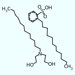 CCCCCCCCCCCCN(CCO)CCO.CCCCCCCCCCCCc1ccccc1S(=O)(=O)O